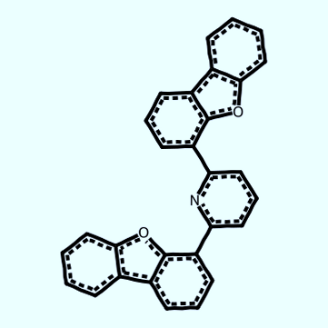 c1cc(-c2cccc3c2oc2ccccc23)nc(-c2cccc3c2oc2ccccc23)c1